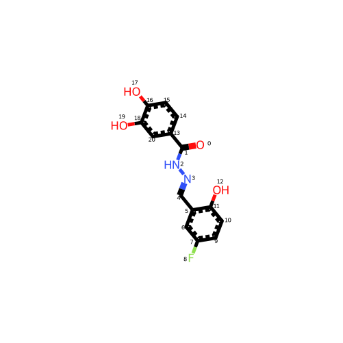 O=C(NN=Cc1cc(F)ccc1O)c1ccc(O)c(O)c1